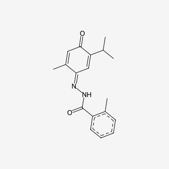 CC1=CC(=O)C(C(C)C)=C/C1=N\NC(=O)c1ccccc1C